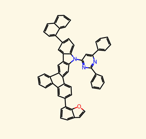 c1ccc(-c2cc(-n3c4ccc(-c5cccc6ccccc56)cc4c4cc5c6ccccc6c6cc(-c7cccc8ccoc78)ccc6c5cc43)nc(-c3ccccc3)n2)cc1